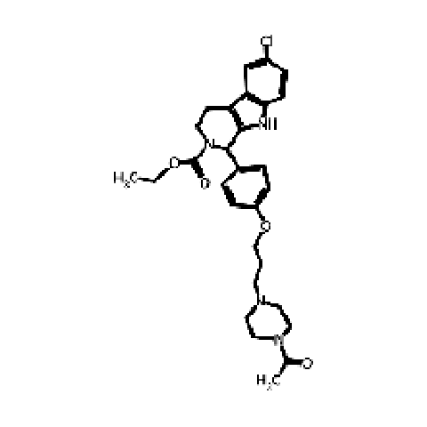 CCOC(=O)N1CCc2c([nH]c3ccc(Cl)cc23)C1c1ccc(OCCCN2CCN(C(C)=O)CC2)cc1